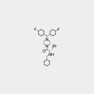 CC(C)C[C@H](NCc1ccccc1)C(=O)N1CCN(C(c2ccc(F)cc2)c2ccc(F)cc2)CC1